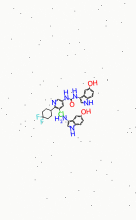 Nc1c[nH]c2ccc(O)cc12.O=C(Nc1cnc(C2CCC(F)(F)CC2)c(Cl)c1)Nc1c[nH]c2ccc(O)cc12